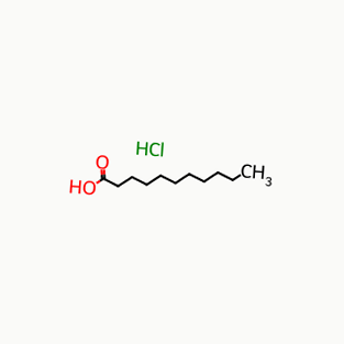 CCCCCCCCCCC(=O)O.Cl